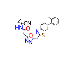 Cc1ccccc1-c1ccc2nc(Cc3nnc(CC(=O)NC4(C#N)CC4)o3)sc2c1